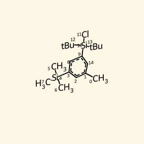 Cc1cc([Si](C)(C)C)cc([Si](Cl)(C(C)(C)C)C(C)(C)C)c1